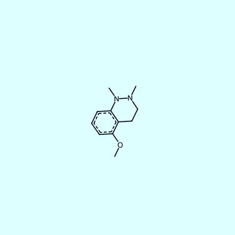 COc1cccc2c1CCN(C)N2C